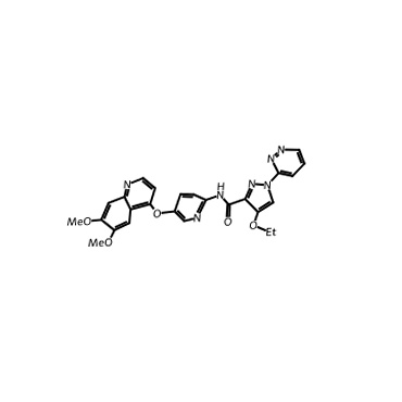 CCOc1cn(-c2cccnn2)nc1C(=O)Nc1ccc(Oc2ccnc3cc(OC)c(OC)cc23)cn1